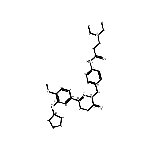 CCN(CC)CCC(=O)Nc1ccc(CN2N=C(c3ccc(OC)c(OC4CCCC4)c3)CCC2=O)cc1